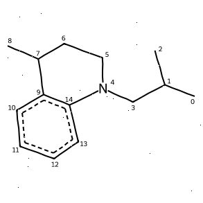 CC(C)CN1CCC(C)c2ccccc21